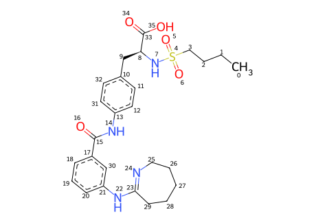 CCCCS(=O)(=O)N[C@@H](Cc1ccc(NC(=O)c2cccc(NC3=NCCCCC3)c2)cc1)C(=O)O